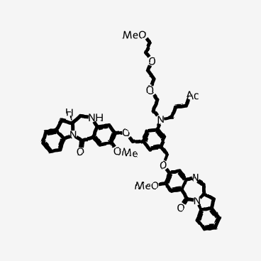 COCCOCCOCCN(CCCC(C)=O)c1cc(COc2cc3c(cc2OC)C(=O)N2c4ccccc4CC2C=N3)cc(COc2cc3c(cc2OC)C(=O)N2c4ccccc4C[C@H]2CN3)c1